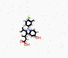 Cc1cc(-n2c(C(C)C)c(C(C)CC(=O)O)c3cc(O)ccc32)ccc1F